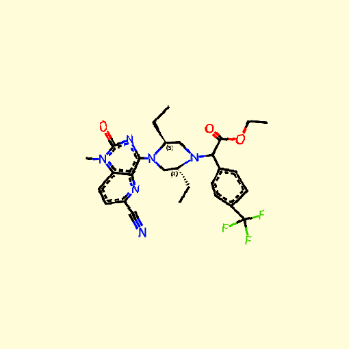 CCOC(=O)C(c1ccc(C(F)(F)F)cc1)N1C[C@H](CC)N(c2nc(=O)n(C)c3ccc(C#N)nc23)C[C@H]1CC